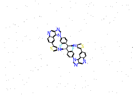 N#CC(c1ccc(-n2cnc3cnc4ccc(-c5cccs5)cc4c32)cc1F)C(C#N)c1ccc(-n2cnc3cnc4ccc(-c5cccs5)cc4c32)cc1F